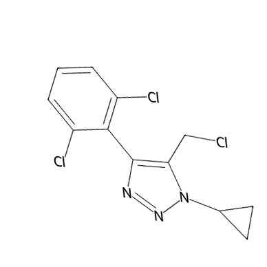 ClCc1c(-c2c(Cl)cccc2Cl)nnn1C1CC1